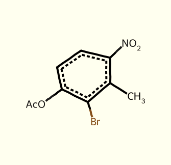 CC(=O)Oc1ccc([N+](=O)[O-])c(C)c1Br